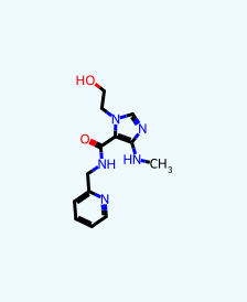 CNc1ncn(CCO)c1C(=O)NCc1ccccn1